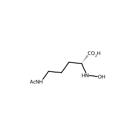 CC(=O)NCCC[C@@H](NO)C(=O)O